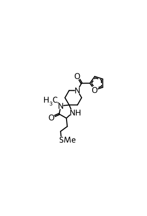 CSCCC1NC2(CCN(C(=O)c3ccco3)CC2)N(C)C1=O